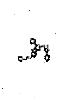 c1ccc(-c2cc(Nc3nc(N4CCOCC4)c4oc5nc(OCCN6CCCC6)ccc5c4n3)[nH]n2)cc1